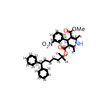 COC(=O)C1=C(C)NC(C)=C(C(=O)OC(C)(C)CCCCC(c2ccccc2)c2ccccc2)C1c1cccc([N+](=O)[O-])c1